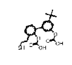 CC(C)(C)c1cc(OC(=O)O)cc(-c2cccc(CCS)c2OC(=O)O)c1